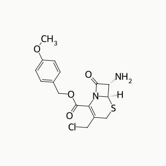 COc1ccc(COC(=O)C2=C(CCl)CS[C@@H]3[C@@H](N)C(=O)N23)cc1